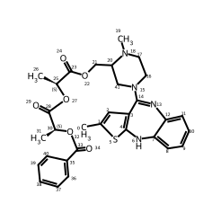 Cc1cc2c(s1)Nc1ccccc1N=C2N1CCN(C)C(COC(=O)[C@H](C)OC(=O)[C@H](C)OC(=O)c2ccccc2)C1